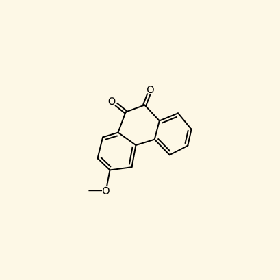 COc1ccc2c(c1)-c1ccccc1C(=O)C2=O